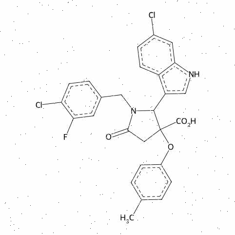 Cc1ccc(OC2(C(=O)O)CC(=O)N(Cc3ccc(Cl)c(F)c3)C2c2c[nH]c3cc(Cl)ccc23)cc1